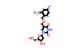 O=c1[nH]c(=O)n([C@H]2C[C@H](O)[C@@H](CO)O2)cc1COCc1ccc(I)cc1[N+](=O)[O-]